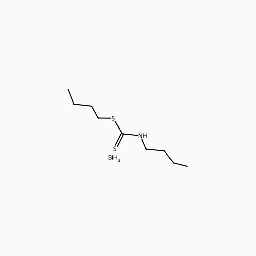 CCCCNC(=S)SCCCC.[BiH3]